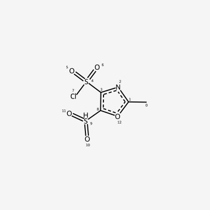 Cc1nc(S(=O)(=O)Cl)c([SH](=O)=O)o1